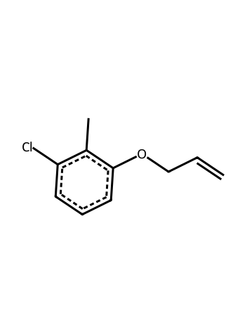 C=CCOc1cccc(Cl)c1C